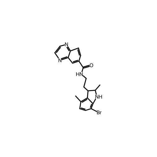 Cc1ccc(Br)c2c1C(CCNC(=O)c1ccc3nccnc3c1)C(C)N2